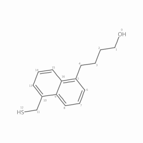 OCCCCc1cccc2c(CS)cccc12